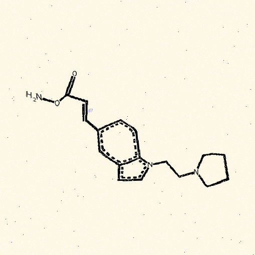 NOC(=O)/C=C/c1ccc2c(ccn2CCN2CCCC2)c1